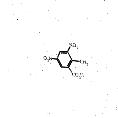 Cc1c(C(=O)O)cc([N+](=O)[O-])cc1[N+](=O)[O-]